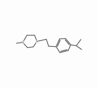 CC(C)c1ccc(CCN2CCN(C)CC2)cc1